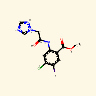 COC(=O)c1cc(I)c(Cl)cc1NC(=O)Cn1cncn1